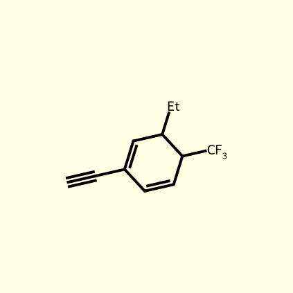 C#CC1=CC(CC)C(C(F)(F)F)C=C1